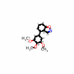 COc1cc(-c2cccc3oncc23)cc(OC)c1OC